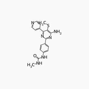 CNC(=O)Nc1ccc(-c2nc(N)c(SC)c(-c3ccncc3)n2)cc1